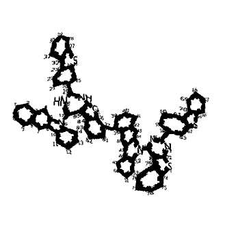 c1ccc2cc3c(cc2c1)c1ccccc1n3C1NC(c2ccc3c(c2)sc2ccccc23)Nc2oc3c(-c4cccc5cc6c(cc45)c4ccccc4n6-c4nc(-c5ccc6c(c5)sc5ccccc56)nc5sc6ccccc6c45)cccc3c21